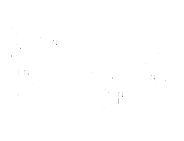 O=[N+]([O-])c1cnc(Oc2cccc(S(=O)(=O)NCCN3CCOCC3)c2)cc1Nc1ccccc1